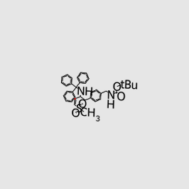 CC(C)(C)OC(=O)NCc1ccc(CC(C=CS(C)(=O)=O)NC(c2ccccc2)(c2ccccc2)c2ccccc2)cc1